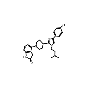 CN(C)CCn1cc(-c2ccc(Cl)cc2)nc1C1CCN(c2ncnc3c2CC(=O)N3)CC1